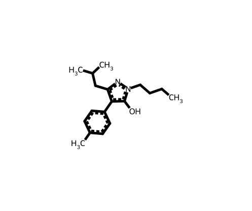 CCCCn1nc(CC(C)C)c(-c2ccc(C)cc2)c1O